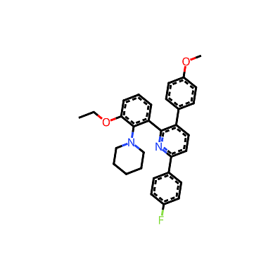 CCOc1cccc(-c2nc(-c3ccc(F)cc3)ccc2-c2ccc(OC)cc2)c1N1CCCCC1